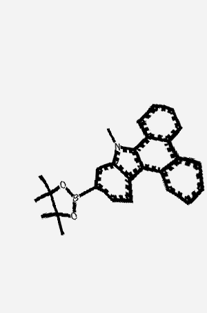 Cn1c2cc(B3OC(C)(C)C(C)(C)O3)ccc2c2c3ccccc3c3ccccc3c21